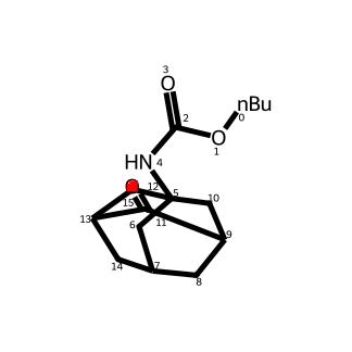 CCCCOC(=O)NC12CC3CC(C1)C(=O)C(C3)C2